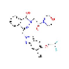 N#Cc1cc2nn(CC3=NN(CC(=O)N4CCOCC4)C(O)c4ccccc43)cc2cc1OCC(F)F